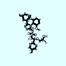 COc1cccc(OC)c1-n1c(NS(=O)(=O)[C@@H](C)[C@H](OC[C@H](C)O)c2ncc(C)cn2)nnc1-c1cncc(C)c1